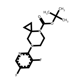 CC(C)(C)OC(=O)N1CCN(c2ncc(F)cc2F)CC12CC2